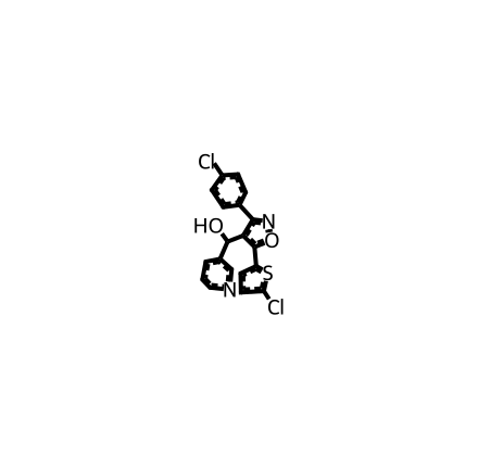 OC(c1cccnc1)c1c(-c2ccc(Cl)cc2)noc1-c1ccc(Cl)s1